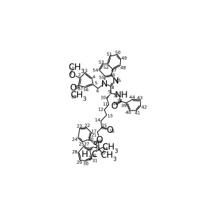 COc1ccc(Cn2c([C@H](CCCCCC(=O)CO[Si](c3ccccc3)(c3ccccc3)C(C)(C)C)NC(=O)c3ccccc3)nc3c4ccccc4ccc32)cc1OC